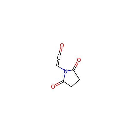 O=C=CN1C(=O)CCC1=O